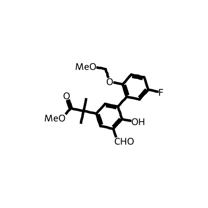 COCOc1ccc(F)cc1-c1cc(C(C)(C)C(=O)OC)cc(C=O)c1O